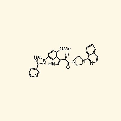 COc1ccc(-c2nc(-c3cccnc3)n[nH]2)c2[nH]cc(C(=O)C(=O)N3CCN(c4nccc5ccccc45)CC3)c12